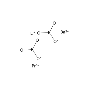 [Ba+2].[Li+].[O-]B([O-])[O-].[O-]B([O-])[O-].[Pr+3]